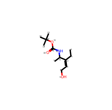 CCC(=CCO)C(C)NC(=O)OC(C)(C)C